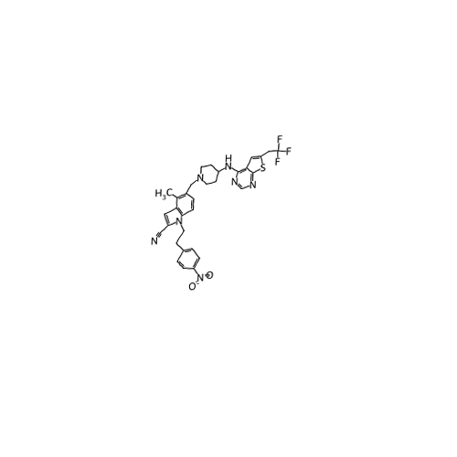 Cc1c(CN2CCC(Nc3ncnc4sc(CC(F)(F)F)cc34)CC2)ccc2c1cc(C#N)n2CCc1ccc([N+](=O)[O-])cc1